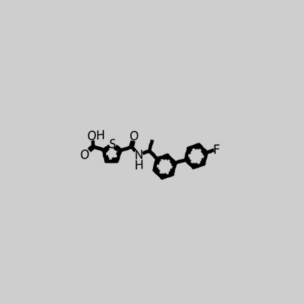 CC(NC(=O)c1ccc(C(=O)O)s1)c1cccc(-c2ccc(F)cc2)c1